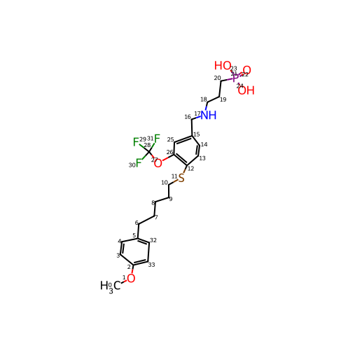 COc1ccc(CCCCCSc2ccc(CNCCCP(=O)(O)O)cc2OC(F)(F)F)cc1